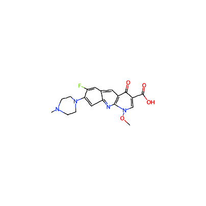 COn1cc(C(=O)O)c(=O)c2cc3cc(F)c(N4CCN(C)CC4)cc3nc21